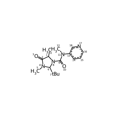 CC1C(=O)N(C)C(C(C)(C)C)N1C(=O)N(C)c1cccnc1